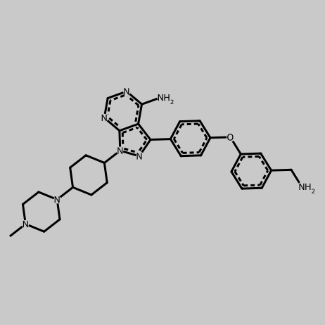 CN1CCN(C2CCC(n3nc(-c4ccc(Oc5cccc(CN)c5)cc4)c4c(N)ncnc43)CC2)CC1